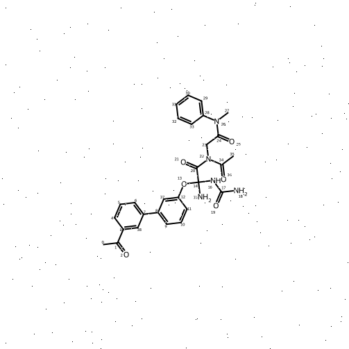 CC(=O)c1cccc(-c2cccc(OC(N)(NC(N)=O)C(=O)N(CC(=O)N(C)c3ccccc3)C(C)=O)c2)c1